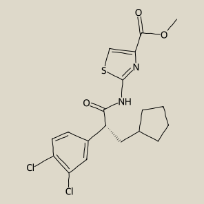 COC(=O)c1csc(NC(=O)[C@H](CC2CCCC2)c2ccc(Cl)c(Cl)c2)n1